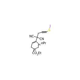 CCC[C@@H]1C[C@@H](C(=O)OCC)CC=C1C(C#N)(C#N)CC#CSI